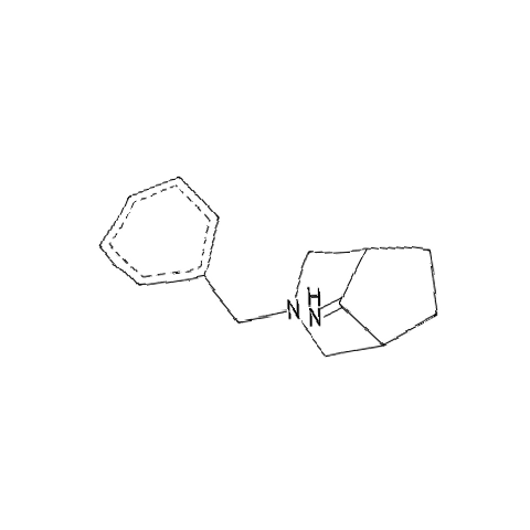 N=C1C2CCC1CN(Cc1ccccc1)C2